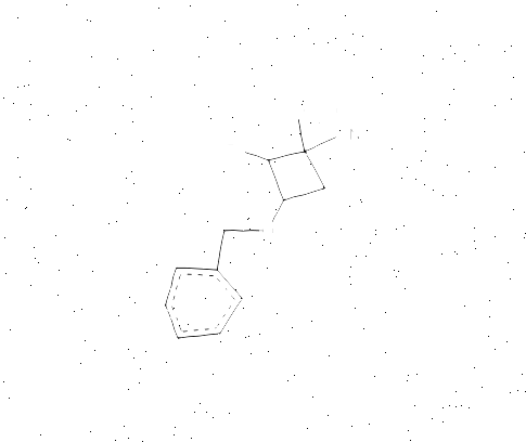 CCOC(=O)C1(C#N)CC(OCc2ccccc2)C1CC